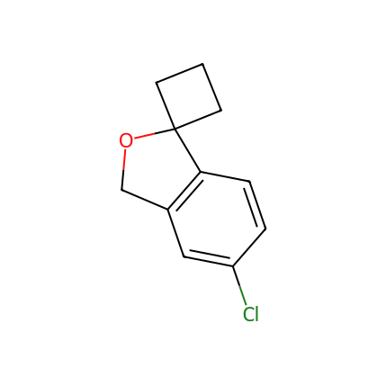 Clc1ccc2c(c1)COC21CCC1